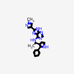 CC(Nc1ncnc2[nH]c(-c3cnn(C)c3)nc12)c1cc[nH]c1-c1ccccc1